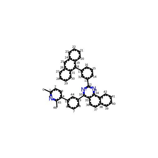 Cc1ccc(-c2cccc(-c3nc(-c4cccc(-c5c6ccccc6cc6ccccc56)c4)nc4c3ccc3ccccc34)c2)c(C)n1